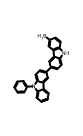 Bc1ccc2[nH]c3ccc(-c4ccc5c(c4)c4ccccc4n5-c4ccccc4)cc3c2c1